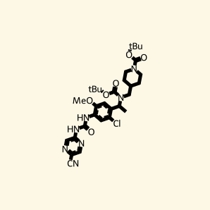 COc1cc(C(C)N(CC2CCN(C(=O)OC(C)(C)C)CC2)C(=O)OC(C)(C)C)c(Cl)cc1NC(=O)Nc1cnc(C#N)cn1